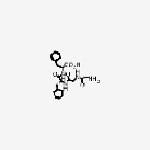 NCC(=O)NCC(=O)N[C@H](Cc1ccccc1)C(=O)NC(Cc1ccccc1)C(=O)O